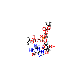 C=Nc1c(N(C)[C@@H]2O[C@](F)(COP(=O)(OCOC(=O)OC(C)C)OCOC(=O)OC(C)C)[C@@H](O)[C@@]2(C)O)nc(N)[nH]c1=O